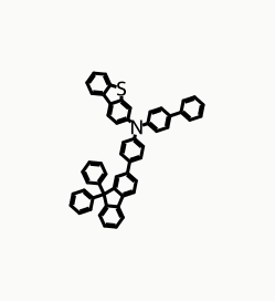 c1ccc(-c2ccc(N(c3ccc(-c4ccc5c(c4)C(c4ccccc4)(c4ccccc4)c4ccccc4-5)cc3)c3ccc4c(c3)sc3ccccc34)cc2)cc1